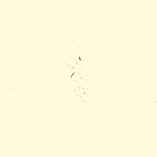 C[C@H]1[C@H](C)CC[C@]2(C(=O)OCCBr)CC[C@]3(C)C(=CC[C@@H]4[C@@]5(C)CC[C@H](O)C(C)(C)[C@@H]5CC[C@]43C)[C@H]12